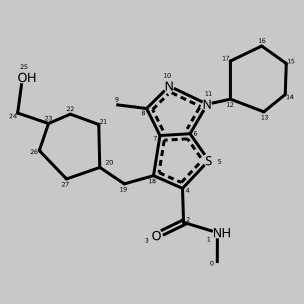 CNC(=O)c1sc2c(c(C)nn2C2CCCCC2)c1CC1CCC(CO)CC1